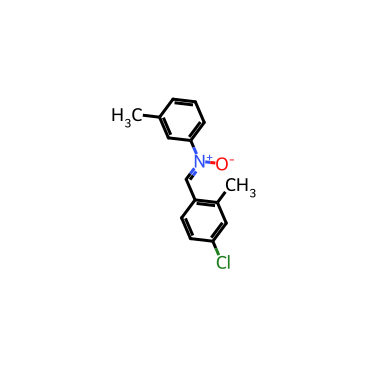 Cc1cccc([N+]([O-])=Cc2ccc(Cl)cc2C)c1